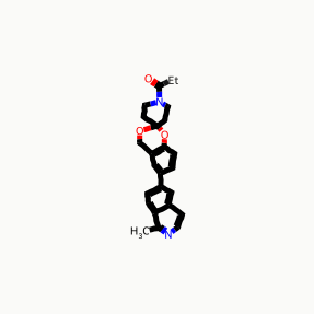 CCC(=O)N1CCC2(CC1)OCc1cc(-c3ccc4c(C)nccc4c3)ccc1O2